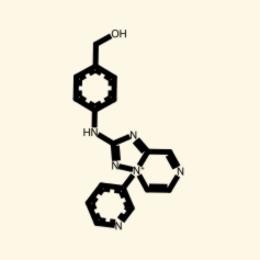 OCc1ccc(NC2=N[N+]3(c4cccnc4)C=CN=CC3=N2)cc1